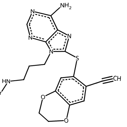 C#Cc1cc2c(cc1Sc1nc3c(N)ncnc3n1CCCNC(C)C)OCCO2